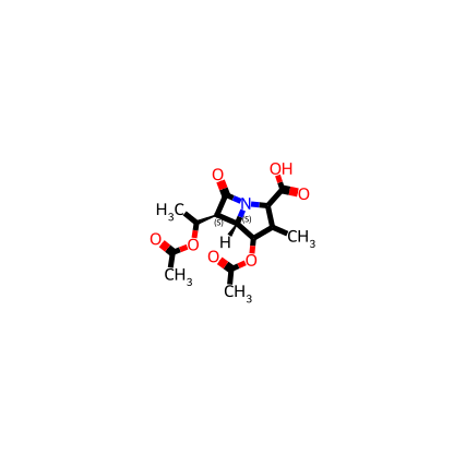 CC(=O)OC(C)[C@H]1C(=O)N2C(C(=O)O)C(C)C(OC(C)=O)[C@H]12